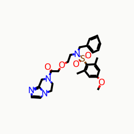 COc1cc(C)c(S(=O)(=O)N(CCOCC(=O)N2CCn3ccnc3C2)Cc2ccccc2)c(C)c1